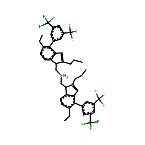 CCCC1=Cc2c(ccc(CC)c2-c2cc(C(F)(F)F)cc(C(F)(F)F)c2)C1C[SiH2]CC1C(CCC)=Cc2c1ccc(CC)c2-c1cc(C(F)(F)F)cc(C(F)(F)F)c1